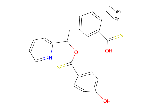 CC(C)C.CC(C)C.CC(OC(=S)c1ccc(O)cc1)c1ccccn1.OC(=S)c1ccccc1